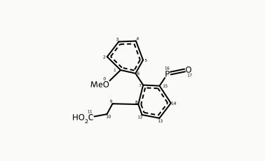 COc1ccccc1-c1c(CCC(=O)O)cccc1P=O